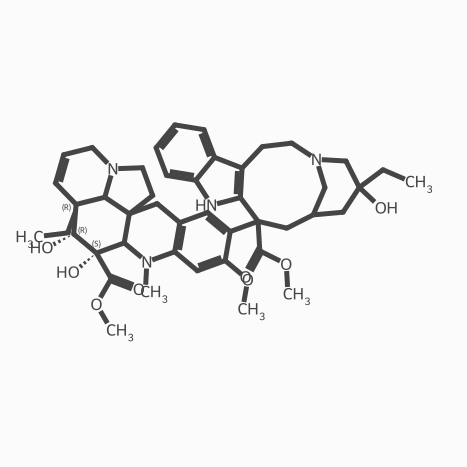 CCC1(O)CC2CN(CCc3c([nH]c4ccccc34)C(C(=O)OC)(c3cc4c(cc3OC)N(C)C3C5(CCN6CC=C[C@](CC)(C65)[C@@H](O)[C@]3(O)C(=O)OC)C4)C2)C1